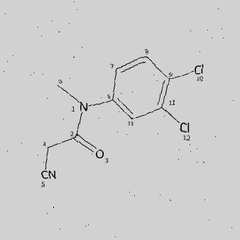 CN(C(=O)CC#N)c1ccc(Cl)c(Cl)c1